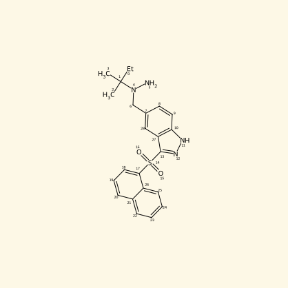 CCC(C)(C)N(N)Cc1ccc2[nH]nc(S(=O)(=O)c3cccc4ccccc34)c2c1